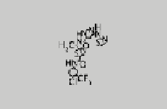 CC(NC(=O)c1cc(Nc2nccs2)ncn1)c1ncc(C(=O)Nc2ccc(Cl)c(C(F)(F)F)c2)s1